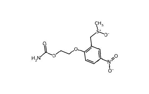 C[S+]([O-])Cc1cc([N+](=O)[O-])ccc1OCCOC(N)=O